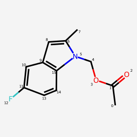 CC(=O)OCn1c(C)cc2cc(F)ccc21